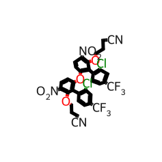 N#CCCCOc1c([N+](=O)[O-])ccc(Oc2ccc([N+](=O)[O-])c(OCCCC#N)c2-c2ccc(C(F)(F)F)cc2Cl)c1-c1ccc(C(F)(F)F)cc1Cl